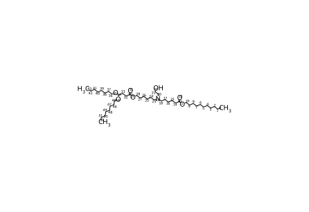 CCCCCCCCCCCOC(=O)CCCCCN(CCO)CCCCCCOC(=O)CCC(OCCCCCCCC)OCCCCCCCC